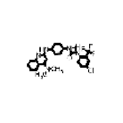 CN(C)c1cc(NC2CCC(NC(=O)Nc3ccc(Cl)cc3C(F)(F)F)CC2)nc2ccccc12